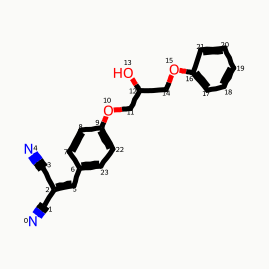 N#CC(C#N)=Cc1ccc(OCC(O)COc2ccccc2)cc1